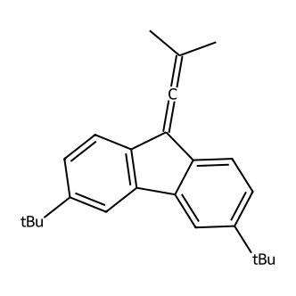 CC(C)=C=C1c2ccc(C(C)(C)C)cc2-c2cc(C(C)(C)C)ccc21